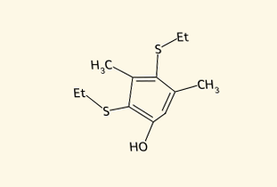 CCSc1c(C)cc(O)c(SCC)c1C